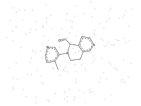 Cc1ccncc1N1CCc2cnccc2C1C=O